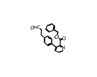 O=CCCc1ccc(-c2cccnc2C(=O)OCc2ccccc2)cc1